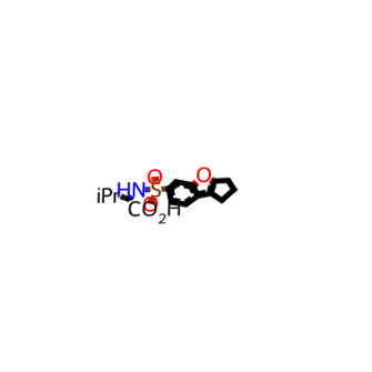 CC(C)C(NS(=O)(=O)c1ccc2c3c(oc2c1)CCC3)C(=O)O